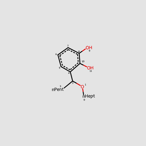 CCCCCCCOC(CCCCC)c1cccc(O)c1O